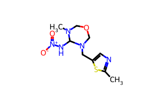 Cc1ncc(CN2COCN(C)C2N[N+](=O)[O-])s1